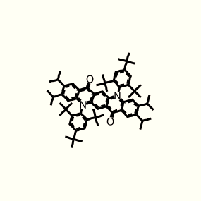 CC(C)c1cc2c(=O)c3cc4c(cc3n(-c3c(C(C)(C)C)cc(C(C)(C)C)cc3C(C)(C)C)c2cc1C(C)C)c(=O)c1cc(C(C)C)c(C(C)C)cc1n4-c1c(C(C)(C)C)cc(C(C)(C)C)cc1C(C)(C)C